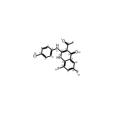 CC(=O)c1c(Nc2ccc(Cl)cc2)[nH]c2c(F)cc(F)cc2c1=O